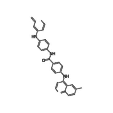 C=C/C=C(\C=C/C)Nc1ccc(NC(=O)c2ccc(NC(/C=C\C)=c3\cc(C)ccc3=C)cc2)cc1